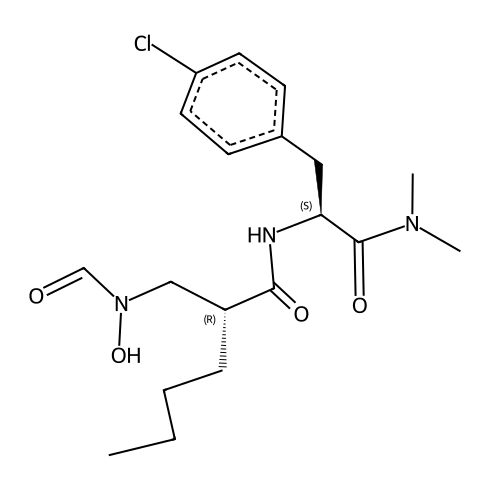 CCCC[C@H](CN(O)C=O)C(=O)N[C@@H](Cc1ccc(Cl)cc1)C(=O)N(C)C